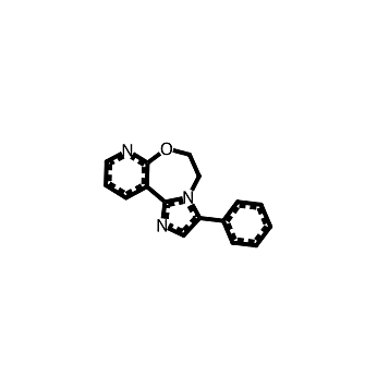 c1ccc(-c2cnc3n2CCOc2ncccc2-3)cc1